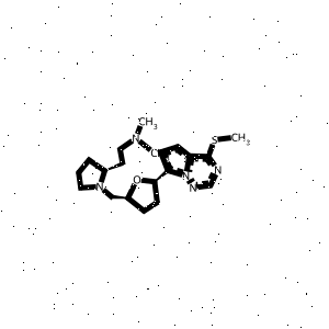 CSc1ncnn2c([C@H]3CC[C@@H](CN4CCC[C@H]4CCN(C)C)O3)ccc12